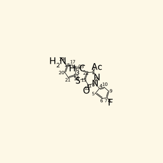 CC(=O)c1nn(-c2ccc(F)cc2)c(=O)c(Sc2ccc(N)cc2)c1C